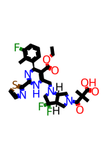 CCOC(=O)C1=C(CN2CC(F)(F)[C@@H]3CN(C(=O)C(C)(C)C(=O)O)C[C@@H]32)NC(c2nccs2)=N[C@H]1c1cccc(F)c1C